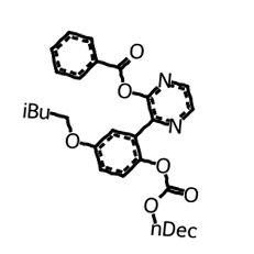 CCCCCCCCCCOC(=O)Oc1ccc(OCC(C)CC)cc1-c1nccnc1OC(=O)c1ccccc1